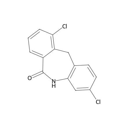 O=C1Nc2cc(Cl)ccc2Cc2c(Cl)cccc21